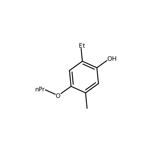 CCCOc1cc(CC)c(O)cc1C